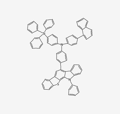 c1ccc(-n2c3ccccc3c3c(-c4ccc(N(c5ccc(-c6cccc7ccccc67)cc5)c5ccc([Si](c6ccccc6)(c6ccccc6)c6ccccc6)cc5)cc4)cc4c5ccccc5sc4c32)cc1